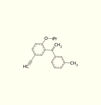 C#Cc1ccc(OC(C)C)c(C(=C)c2cccc(C)c2)c1